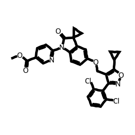 COC(=O)c1ccc(N2C(=O)C3(CC3)c3cc(OCc4c(-c5c(Cl)cccc5Cl)noc4C4CC4)ccc32)nc1